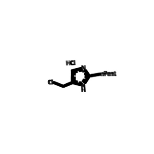 CCCCCc1ncc(CCl)[nH]1.Cl